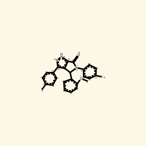 COc1ccccc1C1c2c(-c3ccc(C)cc3)n[nH]c2C(=O)N1c1ccc(F)cc1